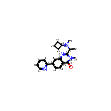 CC(c1nc2cc(-c3ccccn3)ccc2c(=O)n1C)N(C)C1CCC1